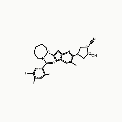 Cc1cc(F)c(F)cc1C(=O)N1CCCCC[C@H]1c1cc2nc(N3C[C@@H](C#N)[C@@H](O)C3)c(C)cn2n1